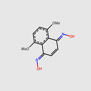 COc1ccc(OC)c2c1C(=NO)C=CC2=NO